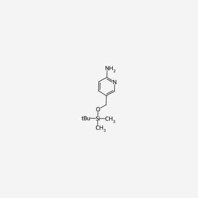 CC(C)(C)[Si](C)(C)OCc1ccc(N)nc1